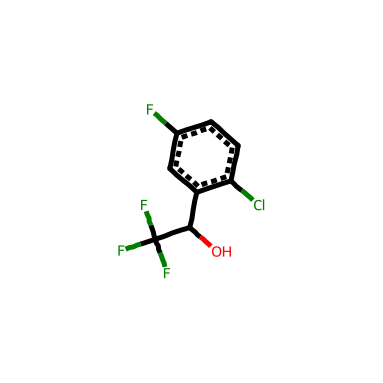 OC(c1cc(F)ccc1Cl)C(F)(F)F